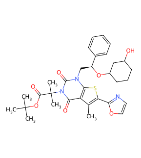 Cc1c(-c2ncco2)sc2c1c(=O)n(C(C)(C)C(=O)OC(C)(C)C)c(=O)n2C[C@H](OC1CCCC(O)C1)c1ccccc1